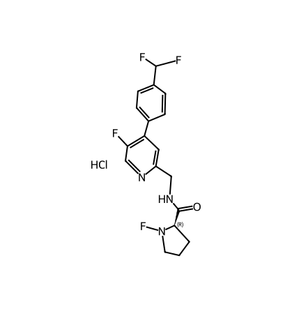 Cl.O=C(NCc1cc(-c2ccc(C(F)F)cc2)c(F)cn1)[C@H]1CCCN1F